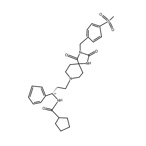 CS(=O)(=O)c1ccc(CN2C(=O)NC3(CCN(CC[C@H](NC(=O)C4CCCC4)c4ccccc4)CC3)C2=O)cc1